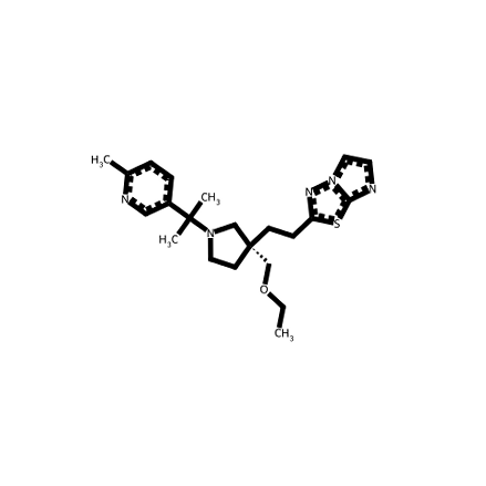 CCOC[C@]1(CCc2nn3ccnc3s2)CCN(C(C)(C)c2ccc(C)nc2)C1